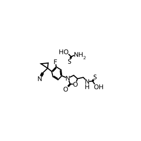 N#CC1(c2ccc(N3CC(CNC(O)=S)OC3=O)cc2F)CC1.NC(O)=S